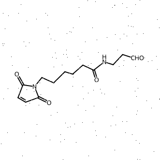 O=[C]CCNC(=O)CCCCCN1C(=O)C=CC1=O